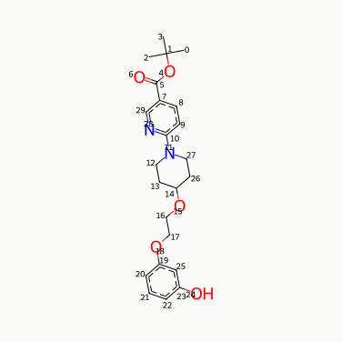 CC(C)(C)OC(=O)c1ccc(N2CCC(OCCOc3cccc(O)c3)CC2)nc1